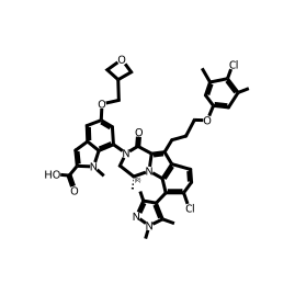 Cc1cc(OCCCc2c3n(c4c(-c5c(C)nn(C)c5C)c(Cl)ccc24)[C@H](C)CN(c2cc(OCC4COC4)cc4cc(C(=O)O)n(C)c24)C3=O)cc(C)c1Cl